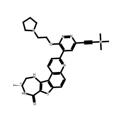 C[C@@H]1CNc2c(sc3ccc4nc(-c5cc(C#C[Si](C)(C)C)nnc5OCCN5CCCC5)ccc4c23)C(=O)N1